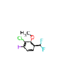 COc1c(C(F)F)ccc(I)c1Cl